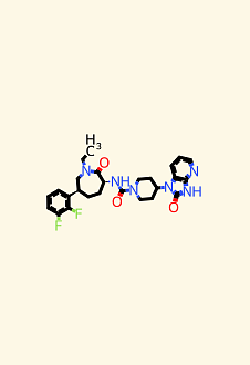 CCN1C[C@H](c2cccc(F)c2F)CC[C@@H](NC(=O)N2CCC(n3c(=O)[nH]c4ncccc43)CC2)C1=O